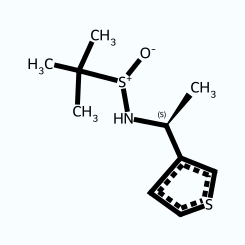 C[C@H](N[S+]([O-])C(C)(C)C)c1ccsc1